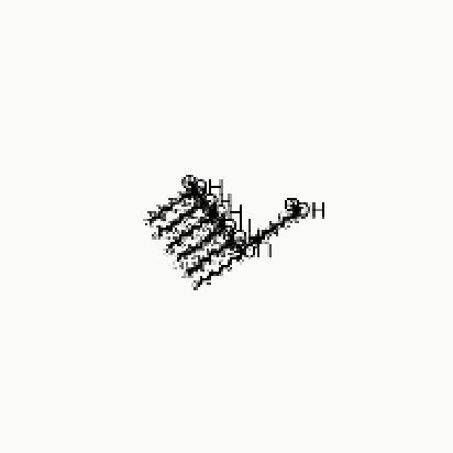 CCCCCCCCCC(=O)O.CCCCCCCCCC(=O)O.CCCCCCCCCC(=O)O.CCCCCCCCCC(=O)O.CCCCCCCCCC(=O)O.CCCCCCCCCC(=O)O.CCCCCCCCCC(=O)O